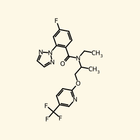 CCN(C(=O)c1ccc(F)cc1-n1nccn1)C(C)COc1ccc(C(F)(F)F)cn1